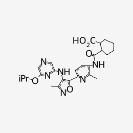 Cc1nc(-c2onc(C)c2Nc2cncc(OC(C)C)n2)ccc1NC(=O)C1CCCCC1C(=O)O